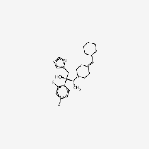 C[C@H](N1CCC(=CC2CCCCC2)CC1)[C@@](O)(Cn1cncn1)c1ccc(F)cc1F